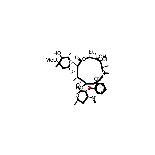 CC[C@H]1OC(=O)[C@H](C)[C@@H](O[C@H]2C[C@@](C)(OC)[C@@H](O)[C@H](C)O2)[C@H](C)[C@@H](O[C@@H]2O[C@H](C)C[C@H](N(C)C)[C@H]2Oc2ccccc2C#N)[C@](C)(O)C[C@@H](C)CN(C)[C@H](C)[C@@H](O)[C@]1(C)O